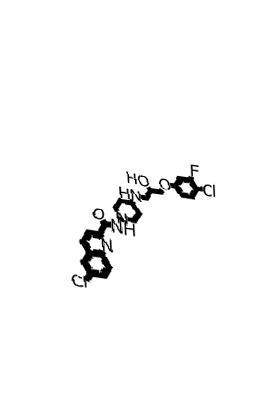 O=C(NN1CCC(NCC(O)COc2ccc(Cl)c(F)c2)CC1)c1ccc2cc(Cl)ccc2n1